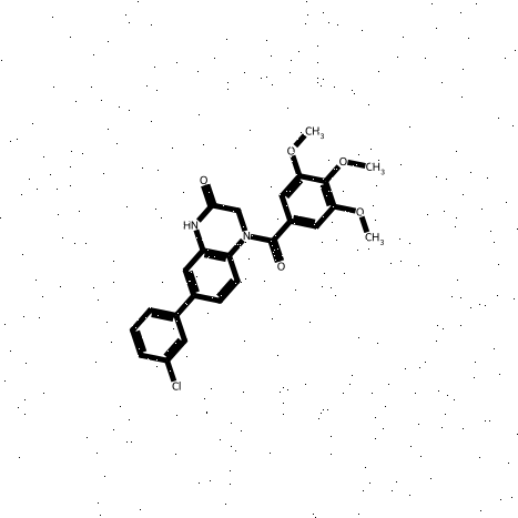 COc1cc(C(=O)N2CC(=O)Nc3cc(-c4cccc(Cl)c4)ccc32)cc(OC)c1OC